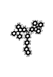 c1ccc(-c2c(-c3ccccc3)c3cc(N(c4ccc(-c5ccc(-c6ccc7ccccc7c6)cc5)cc4)c4ccc5c(c4)-c4ccccc4C5(c4ccccc4)c4ccccc4)ccc3c3ccccc23)cc1